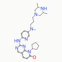 CC1CN(CCCN(C)c2ccc(Nc3ncc4ccc(=O)n(C5CCCC5)c4n3)nc2)CC(C)N1